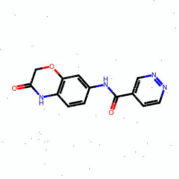 O=C1COc2cc(NC(=O)c3ccnnc3)ccc2N1